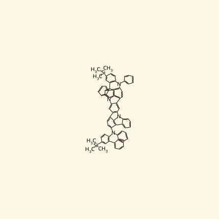 C[Si](C)(C)c1ccc(N(c2ccccc2)c2ccc3c4cc5c(cc4n4c6ccccc6c2c34)c2ccc(N(c3ccccc3)c3ccc([Si](C)(C)C)cc3-c3ccccc3)c3c4ccccc4n5c23)c(-c2ccccc2)c1